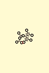 c1ccc(-c2nc(-c3ccccc3)nc(N(c3ccc4c(c3)c3cc(N(c5ccccc5)c5ccccc5)ccc3n4-c3ccccc3)c3nc(-c4ccccc4)nc(-c4ccccc4)n3)n2)cc1